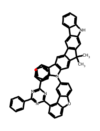 CC1(C)c2cc3[nH]c4ccccc4c3cc2-c2cc3c4ccccc4n(-c4ccc5oc6cccc(-c7nc(-c8ccccc8)nc(-c8ccccc8)n7)c6c5c4)c3cc21